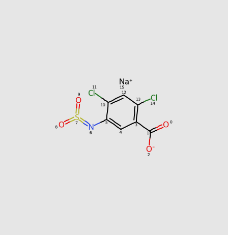 O=C([O-])c1cc(N=S(=O)=O)c(Cl)cc1Cl.[Na+]